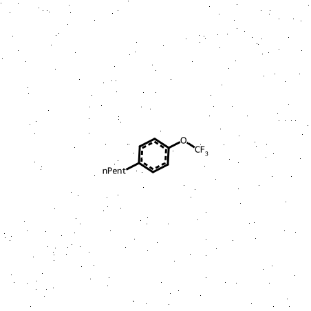 CC[CH]CCc1ccc(OC(F)(F)F)cc1